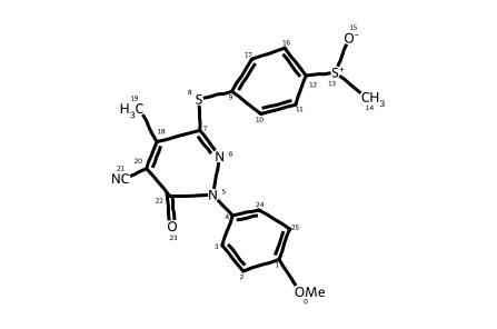 COc1ccc(-n2nc(Sc3ccc([S+](C)[O-])cc3)c(C)c(C#N)c2=O)cc1